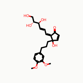 COc1ccc(CCCC2(O)C=CC(=O)C2=CC=C[C@H](O)[C@H](O)CO)cc1OC